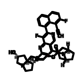 C#Cc1c(F)ccc2cccc(-c3ncc4c(N5C[C@H]6CC[C@@H](C5)N6C(=O)OCC=C)nc(OC[C@@]56CCCN5C[C@H](O)C6)nc4c3F)c12